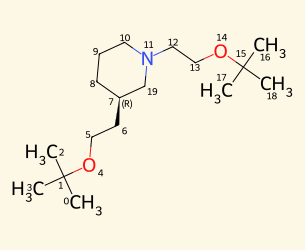 CC(C)(C)OCC[C@H]1CCCN(CCOC(C)(C)C)C1